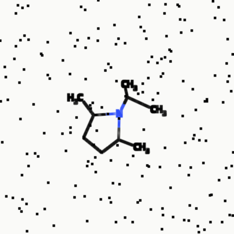 CC(C)N1C(C)CCC1C